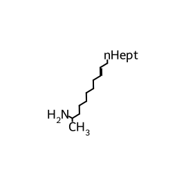 CCCCCCCCC=CCCCCCCC(C)N